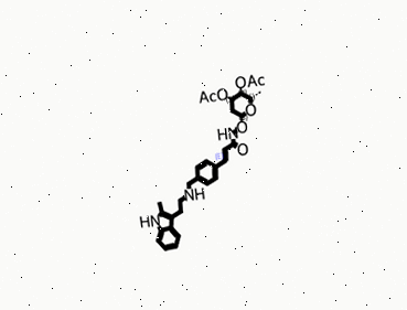 CC(=O)O[C@@H]1[C@H](C)O[C@@H](ONC(=O)/C=C/c2ccc(CNCCc3c(C)[nH]c4ccccc34)cc2)C[C@@H]1OC(C)=O